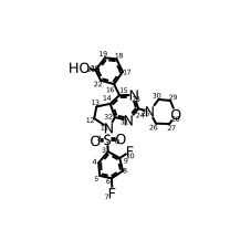 O=S(=O)(c1ccc(F)cc1F)N1CCc2c(-c3cccc(O)c3)nc(N3CCOCC3)nc21